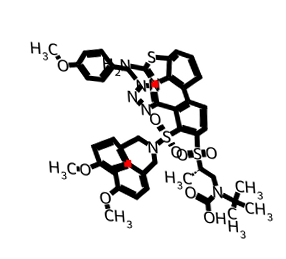 COc1ccc(CN(Cc2ccc(OC)cc2)S(=O)(=O)c2c(S(=O)(=O)[C@@H](C)CN(C(=O)O)C(C)(C)C)ccc(-c3cccc4sc(N)nc34)c2-c2nnn(Cc3ccc(OC)cc3)n2)cc1